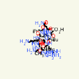 CCCC[C@H](NC(=O)[C@@H](NC(=O)[C@H](CC(=O)O)NC(=O)[C@H](CCC(N)=O)NC(=O)[C@H](CC(C)C)NC(=O)[C@H](CC(C)C)NC(=O)[C@H](CCCCN)NC(=O)[C@H](CCCNC(=N)N)NC(=O)[C@H](C)N)[C@@H](C)CC)C(=O)N[C@H](CCCNC(=N)N)C(=O)NC